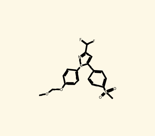 COCOc1ccc(-n2nc(C(F)F)cc2-c2ccc(S(C)(=O)=O)cc2)cc1